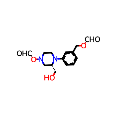 O=COCc1cccc(N2CCN(OC=O)C[C@H]2CO)c1